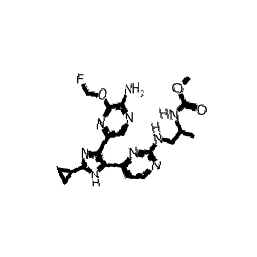 COC(=O)NC(C)CNc1nccc(-c2[nH]c(C3CC3)nc2-c2cnc(N)c(OCF)n2)n1